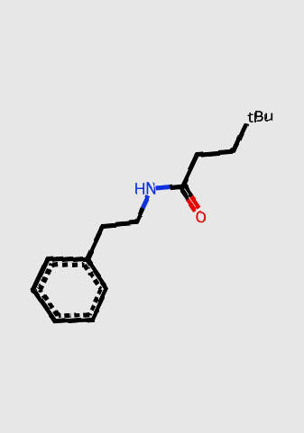 CC(C)(C)CCC(=O)NCCc1ccccc1